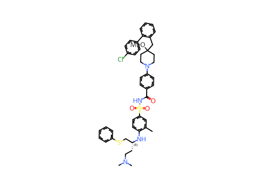 COC1(Cc2ccccc2-c2ccc(Cl)cc2)CCN(c2ccc(C(=O)NS(=O)(=O)c3ccc(N[C@H](CCN(C)C)CSc4ccccc4)c(C)c3)cc2)CC1